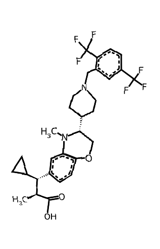 C[C@H](C(=O)O)[C@@H](c1ccc2c(c1)N(C)[C@H](C1CCN(Cc3cc(C(F)(F)F)ccc3C(F)(F)F)CC1)CO2)C1CC1